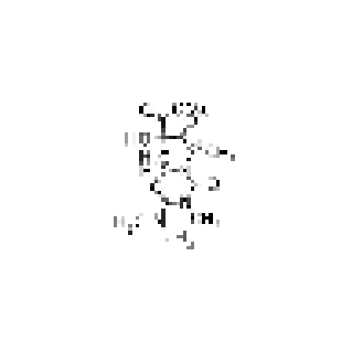 COC(=O)C(C)(O)C(=O)[C@H](C)N(C)C(=O)N(C)C(=O)N(C)C